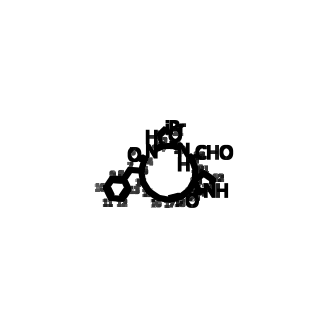 CC(C)C[C@@H]1NC(=O)C(Cc2ccccc2)CCCC=CCC2(CCNC2=O)C[C@@H](C=O)NC1=O